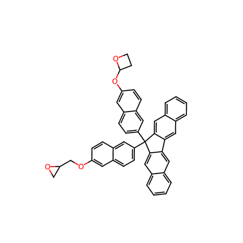 c1ccc2cc3c(cc2c1)-c1cc2ccccc2cc1C3(c1ccc2cc(OCC3CO3)ccc2c1)c1ccc2cc(OC3CCO3)ccc2c1